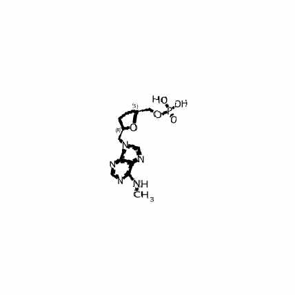 CNc1ncnc2c1ncn2C[C@H]1CC[C@@H](COP(=O)(O)O)O1